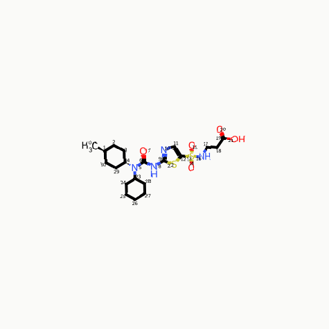 C[C@H]1CC[C@H](N(C(=O)Nc2ncc(S(=O)(=O)NCCC(=O)O)s2)C2CCCCC2)CC1